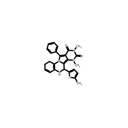 Cc1ccc(C2NC3=C(CCC=C3)n3c(-c4ccccc4)c4c(=O)n(C)c(=O)n(C)c4c32)o1